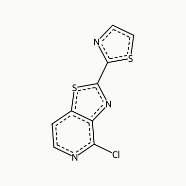 Clc1nccc2sc(-c3nccs3)nc12